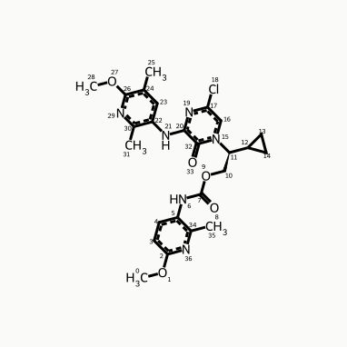 COc1ccc(NC(=O)OC[C@H](C2CC2)n2cc(Cl)nc(Nc3cc(C)c(OC)nc3C)c2=O)c(C)n1